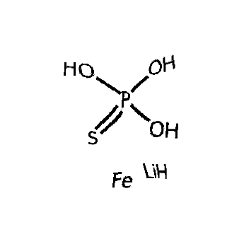 OP(O)(O)=S.[Fe].[LiH]